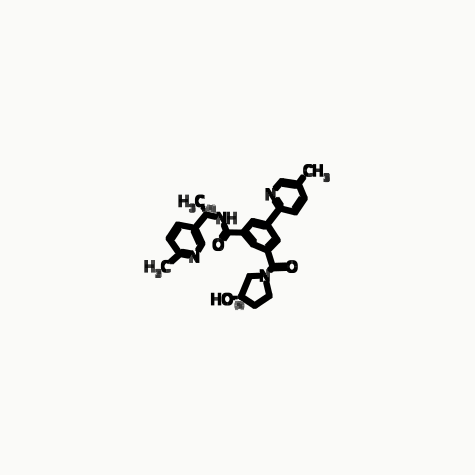 Cc1ccc(-c2cc(C(=O)N[C@@H](C)c3ccc(C)nc3)cc(C(=O)N3CC[C@H](O)C3)c2)nc1